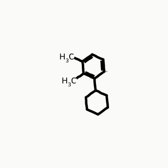 Cc1cc[c]c(C2CCCCC2)c1C